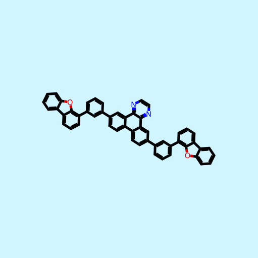 c1cc(-c2ccc3c4ccc(-c5cccc(-c6cccc7c6oc6ccccc67)c5)cc4c4nccnc4c3c2)cc(-c2cccc3c2oc2ccccc23)c1